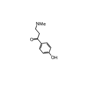 CNCCC(=O)c1ccc(O)cc1